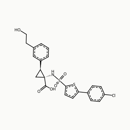 O=C(O)[C@@]1(NS(=O)(=O)c2ccc(-c3ccc(Cl)cc3)s2)C[C@H]1c1cccc(CCO)c1